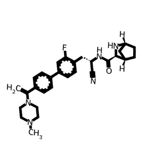 C=C(c1ccc(-c2ccc(C[C@@H](C#N)NC(=O)[C@H]3N[C@@H]4CC[C@H]3C4)c(F)c2)cc1)N1CCN(C)CC1